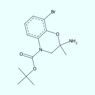 CC(C)(C)OC(=O)N1CC(C)(N)Oc2c(Br)cccc21